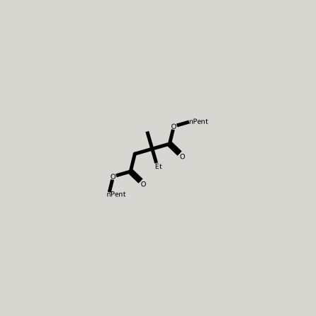 CCCCCOC(=O)CC(C)(CC)C(=O)OCCCCC